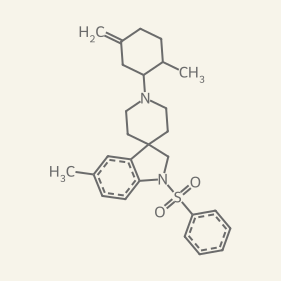 C=C1CCC(C)C(N2CCC3(CC2)CN(S(=O)(=O)c2ccccc2)c2ccc(C)cc23)C1